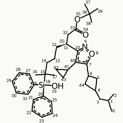 CC(C)CC1CC(c2onc([C@@H](CCCC(C)(C)[Si](O)(c3ccccc3)c3ccccc3)CC(=O)OC(C)(C)C)c2C2CC2)C1